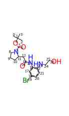 CC(C)(C)OC(=O)N1CCCC1CC(=O)Nc1cc(Br)ccc1NCCO